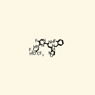 N=C(/C=C(\NCc1ccccc1F)c1ccon1)c1ncc(F)c(NCC(O)(C(F)(F)F)C(F)(F)F)n1